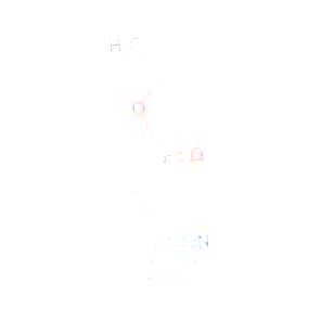 CCOC(=O)CC1=NC=C1